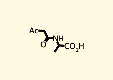 CC(=O)CC(=O)NC(C)C(=O)O